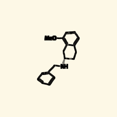 COc1cccc2c1C[C@@H](NCc1ccccc1)CC2